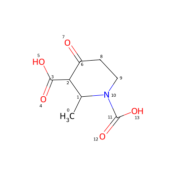 CC1C(C(=O)O)C(=O)CCN1C(=O)O